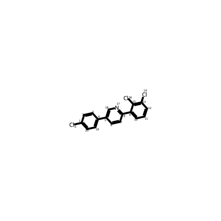 Clc1ccc(-c2[c]cc(-c3cccc(Cl)c3Cl)nc2)cc1